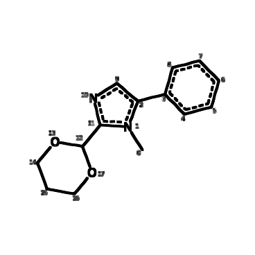 Cn1c(-c2ccccc2)cnc1C1OCCCO1